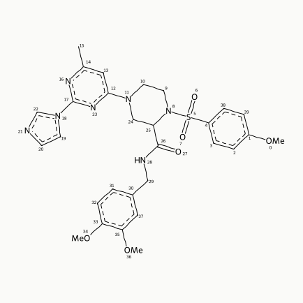 COc1ccc(S(=O)(=O)N2CCN(c3cc(C)nc(-n4ccnc4)n3)CC2C(=O)NCc2ccc(OC)c(OC)c2)cc1